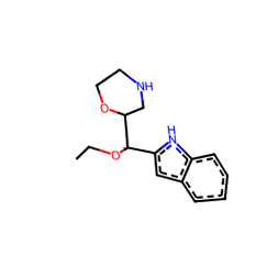 CCO[C](c1cc2ccccc2[nH]1)C1CNCCO1